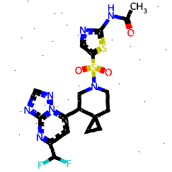 CC(=O)Nc1ncc(S(=O)(=O)N2CCC3(CC3)C(c3cc(C(F)F)nc4ncnn34)C2)s1